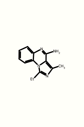 CCc1nc(C)c2c(N)nc3ccccc3n12